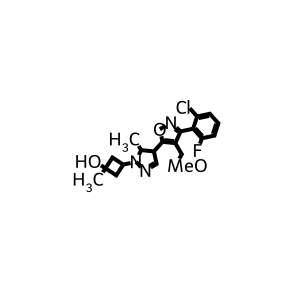 COCc1c(-c2c(F)cccc2Cl)noc1C1C=NN(C2CC(C)(O)C2)C1C